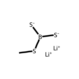 CSB([S-])[S-].[Li+].[Li+]